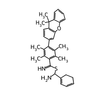 Cc1c(C)c(-c2ccc3c(c2)Oc2ccccc2C3(C)C)c(C)c(C)c1C(=N)SC(N)C1=CC=CCC1